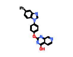 CC(C)c1ccc2c(c1)ncn2-c1ccc(Oc2nc(O)c3ccncc3n2)cc1